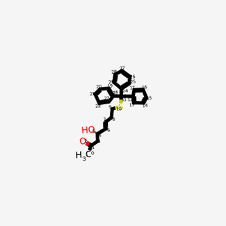 CC(=O)C[C@H](O)/C=C/CCSC(c1ccccc1)(c1ccccc1)c1ccccc1